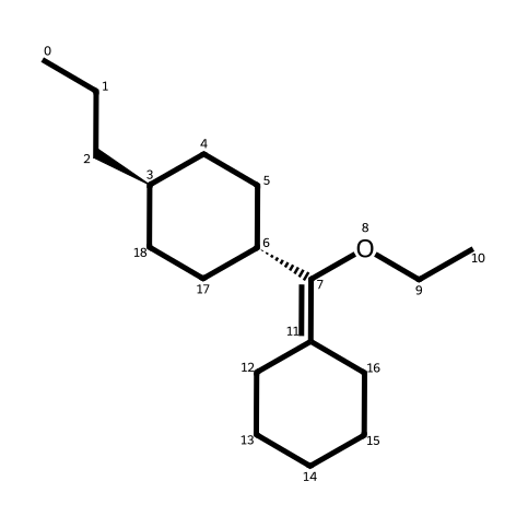 CCC[C@H]1CC[C@H](C(OCC)=C2CCCCC2)CC1